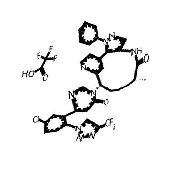 C[C@@H]1CCC[C@H](n2cnc(-c3cc(Cl)ccc3-n3cc(C(F)(F)F)nn3)cc2=O)c2cc(ccn2)-c2c(cnn2-c2ccccc2)NC1=O.O=C(O)C(F)(F)F